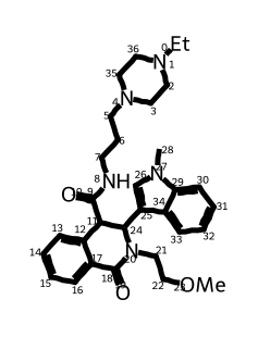 CCN1CCN(CCCNC(=O)C2c3ccccc3C(=O)N(CCOC)C2c2cn(C)c3ccccc23)CC1